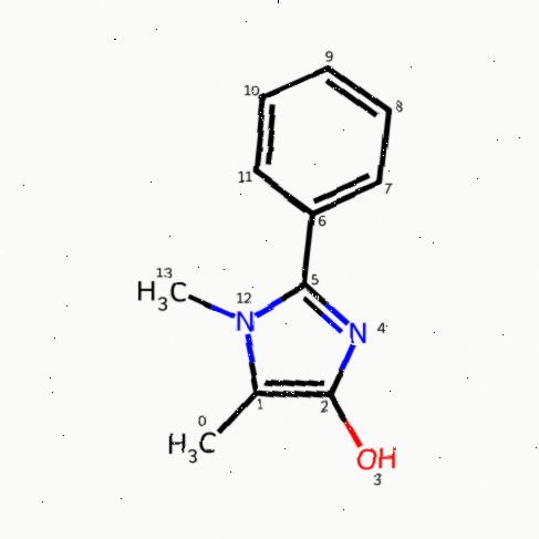 Cc1c(O)nc(-c2ccccc2)n1C